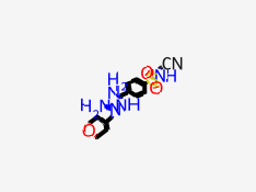 N#CCNS(=O)(=O)c1ccc(C(N)NN(N)CC2CCOCC2)cc1